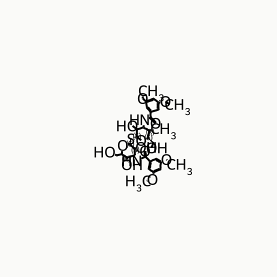 COc1cc(OC)cc(C(=O)NC2C(O)[C@H](S[C@@H]3OC(CO)[C@H](O)C(NC(=O)c4cc(OC)cc(OC)c4)[C@@H]3O)O[C@H](CO)[C@@H]2C)c1